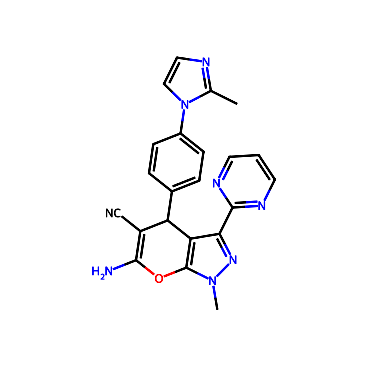 Cc1nccn1-c1ccc(C2C(C#N)=C(N)Oc3c2c(-c2ncccn2)nn3C)cc1